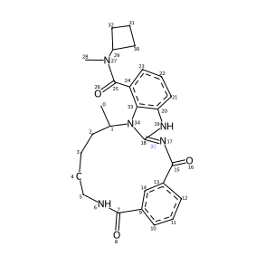 CC1CCCCNC(=O)c2cccc(c2)C(=O)/N=C2\Nc3cccc(C(=O)N(C)C4CCC4)c3N21